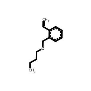 C=Cc1ccccc1COCCCC